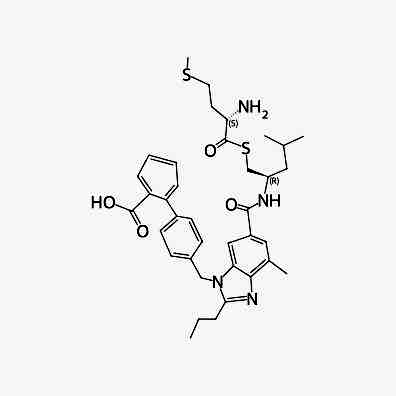 CCCc1nc2c(C)cc(C(=O)N[C@@H](CSC(=O)[C@@H](N)CCSC)CC(C)C)cc2n1Cc1ccc(-c2ccccc2C(=O)O)cc1